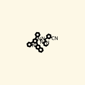 N#Cc1cccc(-c2nc(-n3c4ccccc4c4cc5c6ccccc6n6c7cc8ccccc8cc7c(c43)c56)nc3cccnc23)c1